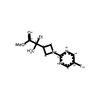 CCC(C)(C(=O)OC)C1CN(c2ncc(F)cn2)C1